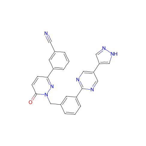 N#Cc1cccc(-c2ccc(=O)n(Cc3cccc(-c4ncc(-c5cn[nH]c5)cn4)c3)n2)c1